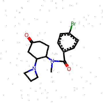 CN(C(=O)c1ccc(Br)cc1)C1CCC(=O)CC1N1CCC1